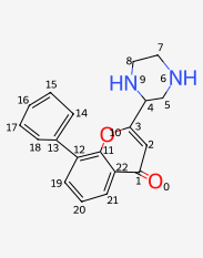 O=c1cc(C2CNCCN2)oc2c(-c3ccccc3)cccc12